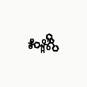 CS(=O)(=O)c1ccc(NC(=O)C(=O)c2c(-c3ccccc3)cc3ccccn23)cc1